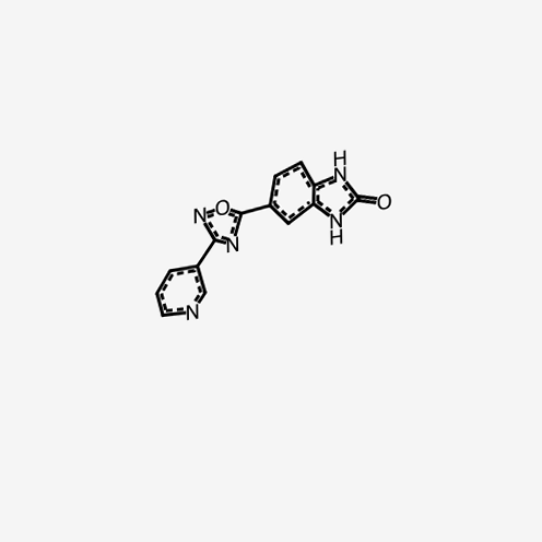 O=c1[nH]c2ccc(-c3nc(-c4cccnc4)no3)cc2[nH]1